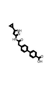 O=C(Cc1ccc(-c2ccc(C(=O)O)cc2)cc1)Nc1cc(C2CC2)[nH]n1